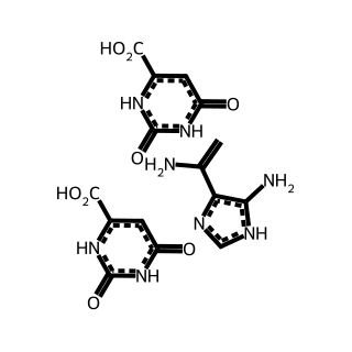 C=C(N)c1nc[nH]c1N.O=C(O)c1cc(=O)[nH]c(=O)[nH]1.O=C(O)c1cc(=O)[nH]c(=O)[nH]1